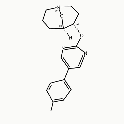 Cc1ccc(-c2cnc(O[C@H]3CC[N@@]4CCC[C@H]3C4)nc2)cc1